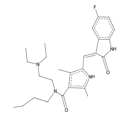 CCCCN(CCN(CC)CC)C(=O)c1c(C)[nH]c(/C=C2\C(=O)Nc3ccc(F)cc32)c1C